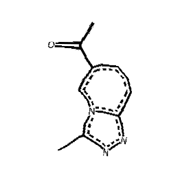 CC(=O)c1ccc2nnc(C)n2c1